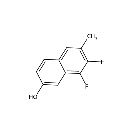 Cc1cc2ccc(O)cc2c(F)c1F